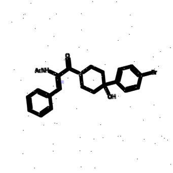 CC(=O)N/C(=C\c1ccccc1)C(=O)N1CCC(O)(c2ccc(Br)cc2)CC1